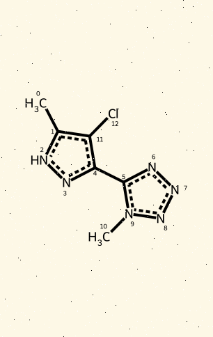 Cc1[nH]nc(-c2nnnn2C)c1Cl